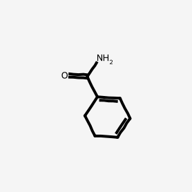 NC(=O)C1=CC=CCC1